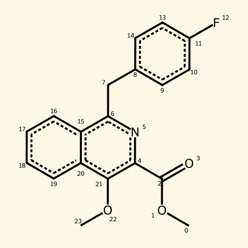 COC(=O)c1nc(Cc2ccc(F)cc2)c2ccccc2c1OC